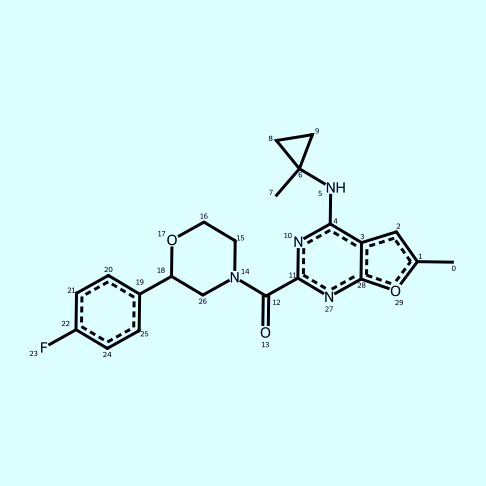 Cc1cc2c(NC3(C)CC3)nc(C(=O)N3CCOC(c4ccc(F)cc4)C3)nc2o1